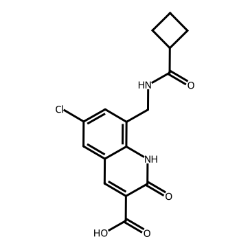 O=C(O)c1cc2cc(Cl)cc(CNC(=O)C3CCC3)c2[nH]c1=O